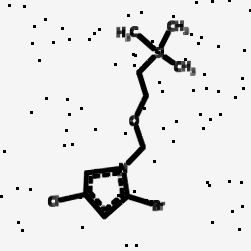 C[Si](C)(C)CCOCn1cc(Cl)cc1Br